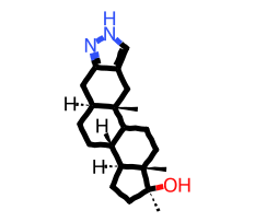 C[C@]1(O)CC[C@H]2[C@@H]3CC[C@H]4Cc5n[nH]cc5C[C@]4(C)C3CC[C@@]21C